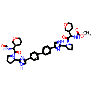 COC(=O)NC(C(=O)N1CCCC1c1nc(-c2ccc(-c3ccc(-c4c[nH]c(C5CCCN5C(=O)C(NC=O)C5CCCOC5)n4)cc3)cc2)c[nH]1)C1CCCOC1